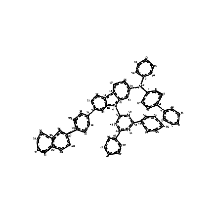 c1ccc(-c2ccc(N(c3ccccc3)c3ccc4c5ccc(-c6ccc(-c7ccc8ccccc8c7)cc6)cc5n(-c5nc(-c6ccccc6)nc(-c6ccccc6)n5)c4c3)cc2)cc1